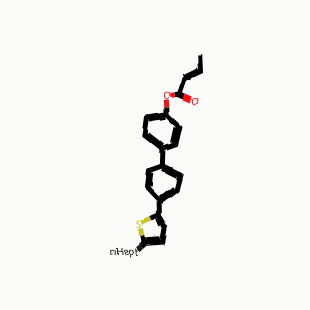 C/C=C/C(=O)Oc1ccc(-c2ccc(-c3ccc(CCCCCCC)s3)cc2)cc1